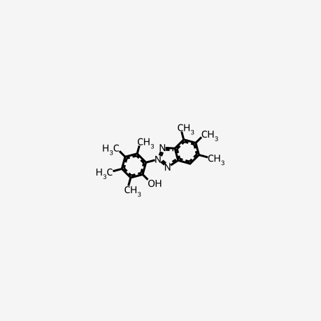 Cc1cc2nn(-c3c(C)c(C)c(C)c(C)c3O)nc2c(C)c1C